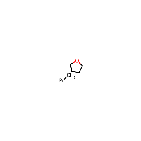 C1CCOC1.CC(C)C